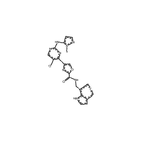 Cn1nccc1Nc1ncc(Cl)c(-c2coc(C(=O)NCc3cccc4cc[nH]c34)n2)n1